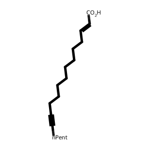 CCCCCC#CCCCCCCCCC=CC(=O)O